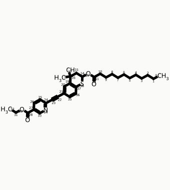 CCCCCCCCCCCC(=O)OC1CC(C)(C)c2cc(C#Cc3ccc(C(=O)OCC)cn3)ccc2S1